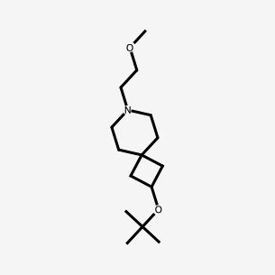 COCCN1CCC2(CC1)CC(OC(C)(C)C)C2